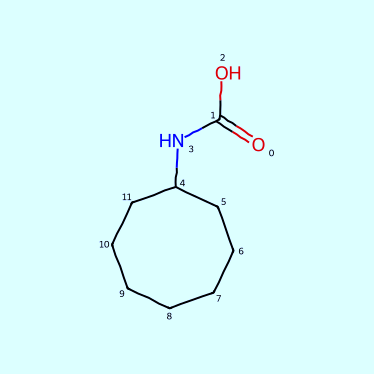 O=C(O)NC1CCCCCCC1